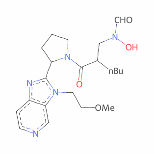 CCCCC(CN(O)C=O)C(=O)N1CCCC1c1nc2ccncc2n1CCOC